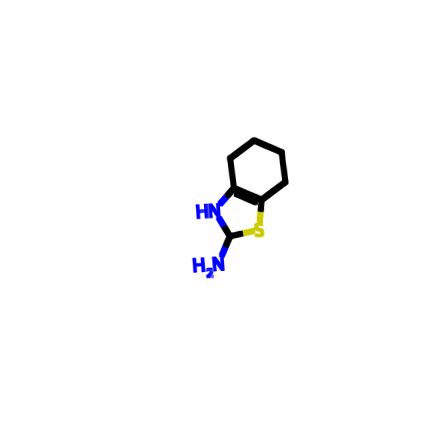 NC1NC2=C(CCCC2)S1